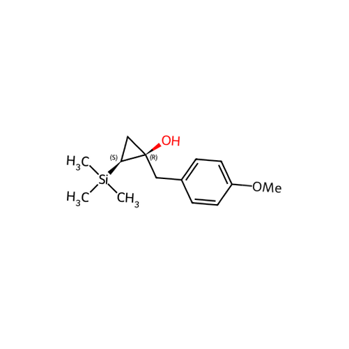 COc1ccc(C[C@@]2(O)C[C@@H]2[Si](C)(C)C)cc1